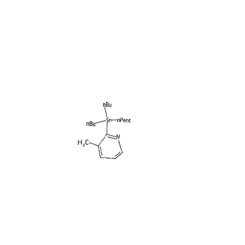 CCCC[CH2][Sn]([CH2]CCC)([CH2]CCC)[c]1ncccc1C